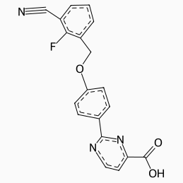 N#Cc1cccc(COc2ccc(-c3nccc(C(=O)O)n3)cc2)c1F